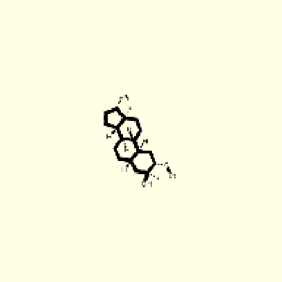 CCC[C@H]1CC[C@H]2[C@@H]3CC[C@H]4C[C@](C)(O)[C@@H](OCC)C[C@@H]4[C@H]3CC[C@]12C